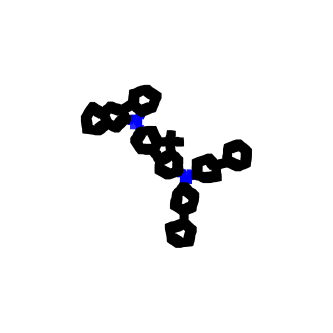 CC1(C)c2cc(N(c3ccc(-c4ccccc4)cc3)c3ccc(-c4ccccc4)cc3)ccc2-c2ccc(-n3c4ccccc4c4cc5ccccc5cc43)cc21